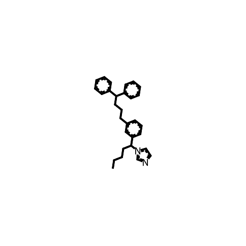 CCCCC(c1cccc(CCCC(c2ccccc2)c2ccccc2)c1)n1ccnc1